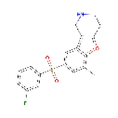 Cc1cc(S(=O)(=O)c2cccc(F)c2)cc2c3c(oc12)CCNC3